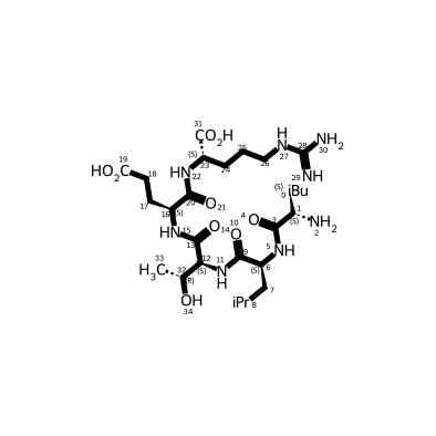 CC[C@H](C)[C@H](N)C(=O)N[C@@H](CC(C)C)C(=O)N[C@H](C(=O)N[C@@H](CCC(=O)O)C(=O)N[C@@H](CCCNC(=N)N)C(=O)O)[C@@H](C)O